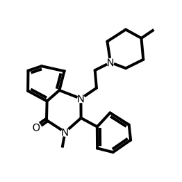 CC1CCN(CCN2c3ccccc3C(=O)N(C)C2c2ccccc2)CC1